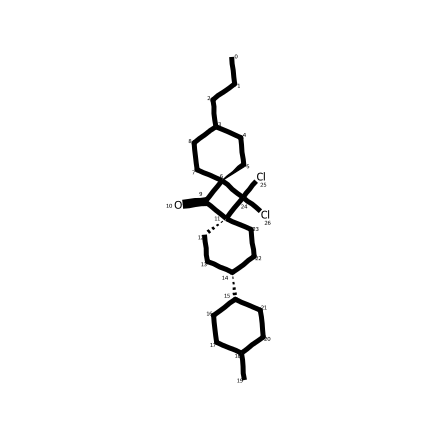 CCCC1CC[C@]2(CC1)C(=O)[C@@]1(CC[C@@H](C3CCC(C)CC3)CC1)C2(Cl)Cl